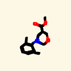 COC(=O)C1COCN(c2c(C)cccc2C)C1